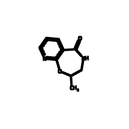 CC1CNC(=O)c2cccnc2O1